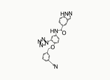 N#Cc1cccc(COc2ccc(NC(=O)c3ccc4[nH]ncc4c3)cc2-n2cnnn2)c1